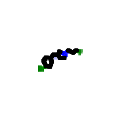 FCCCN1CC/C(=C\c2ccc(Br)cc2)C1